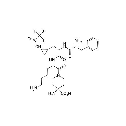 NCCCCC(NC(=O)C(CC1CC1)NC(=O)C(N)Cc1ccccc1)C(=O)N1CCC(N)(C(=O)O)CC1.O=C(O)C(F)(F)F